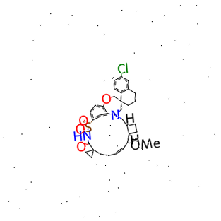 CO[C@@H]1/C=C\CCC2(CC2)C(=O)NS(=O)(=O)c2ccc3c(c2)N(C[C@@H]2CC[C@H]21)C[C@@]1(CCCc2cc(Cl)ccc21)CO3